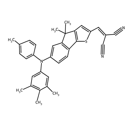 Cc1ccc(N(c2cc(C)c(C)c(C)c2)c2ccc3c(c2)C(C)(C)c2cc(C=C(C#N)C#N)sc2-3)cc1